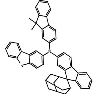 CC1(C)c2ccccc2-c2ccc(N(c3ccc4c(c3)C3(c5ccccc5-4)C4CC5CC(C4)CC3C5)c3ccc4sc5ccccc5c4c3)cc21